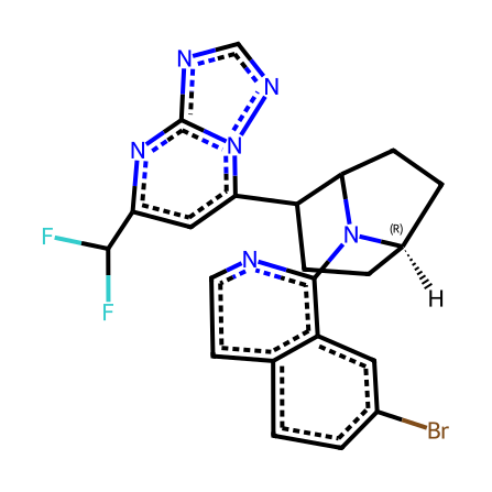 FC(F)c1cc(C2CC[C@@H]3CCC2N3c2nccc3ccc(Br)cc23)n2ncnc2n1